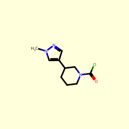 Cn1cc(C2CCCN(C(=O)Cl)C2)cn1